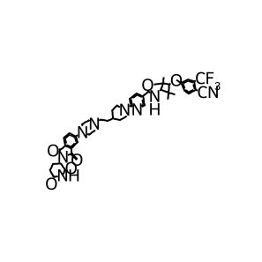 CC1(C)[C@H](NC(=O)c2ccc(N3CCC(CCN4CCN(c5ccc6c(c5)C(=O)N(C5CCC(=O)NC5=O)C6=O)CC4)CC3)nc2)C(C)(C)[C@H]1Oc1ccc(C#N)c(C(F)(F)F)c1